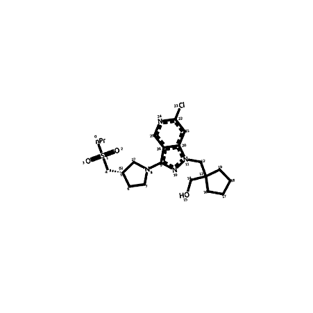 CCCS(=O)(=O)C[C@H]1CCN(c2nn(CC3(CO)CCCC3)c3cc(Cl)ncc23)C1